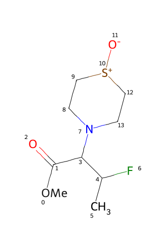 COC(=O)C(C(C)F)N1CC[S+]([O-])CC1